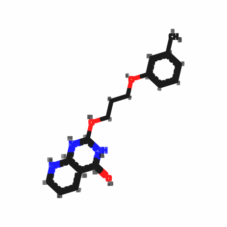 Cc1cccc(OCCCOc2nc3ncccc3c(=O)[nH]2)c1